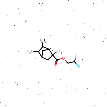 CC1C2CC(C1C)C(C(=O)OCC(F)F)(C(F)(F)F)C2